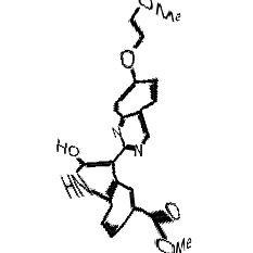 COCCOc1ccc2cnc(-c3c(O)[nH]c4ccc(C(=O)OC)cc34)nc2c1